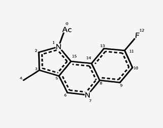 CC(=O)n1cc(C)c2cnc3ccc(F)cc3c21